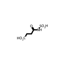 O=C(O)CCC(=O)NS(=O)(=O)O